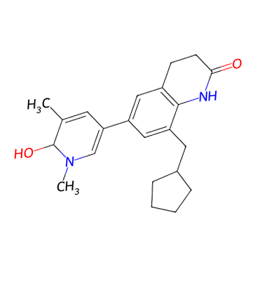 CC1=CC(c2cc3c(c(CC4CCCC4)c2)NC(=O)CC3)=CN(C)C1O